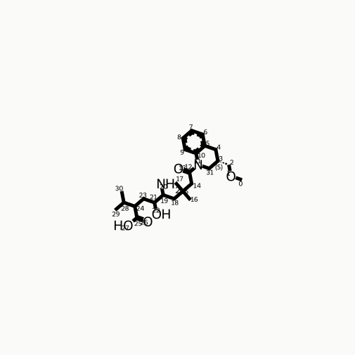 COC[C@H]1Cc2ccccc2N(C(=O)CC(C)(C)CC(N)C(O)CC(C(=O)O)C(C)C)C1